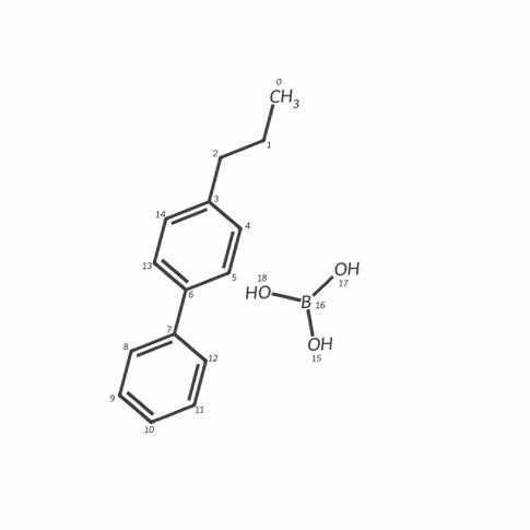 CCCc1ccc(-c2ccccc2)cc1.OB(O)O